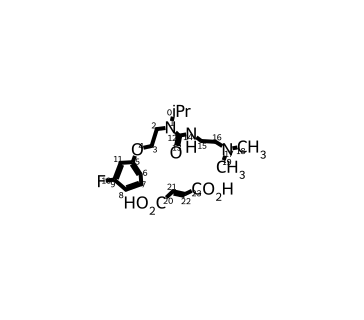 CC(C)N(CCOc1cccc(F)c1)C(=O)NCCN(C)C.O=C(O)C=CC(=O)O